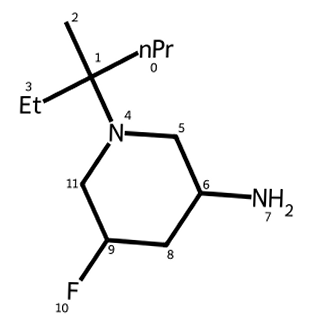 CCCC(C)(CC)N1CC(N)CC(F)C1